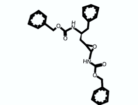 O=C(NC1OC1C[C@H](Cc1ccccc1)NC(=O)OCc1ccccc1)OCc1ccccc1